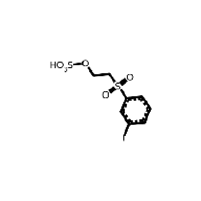 O=S(=O)(O)OCCS(=O)(=O)c1cccc(I)c1